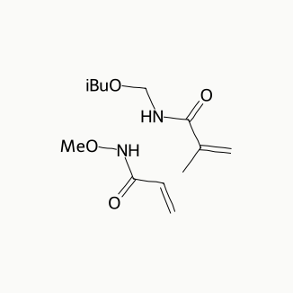 C=C(C)C(=O)NCOCC(C)C.C=CC(=O)NOC